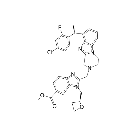 COC(=O)c1ccc2nc(CN3CCn4c(nc5c([C@H](C)c6ccc(Cl)cc6F)cccc54)C3)n(C[C@@H]3CCO3)c2c1